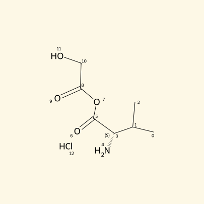 CC(C)[C@H](N)C(=O)OC(=O)CO.Cl